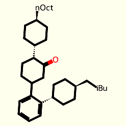 CCCCCCCC[C@H]1CC[C@H](C2CCC(c3ccccc3[C@H]3CC[C@H](CC(C)CC)CC3)CC2=O)CC1